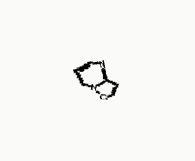 C1=CN=C2C=CON2C1